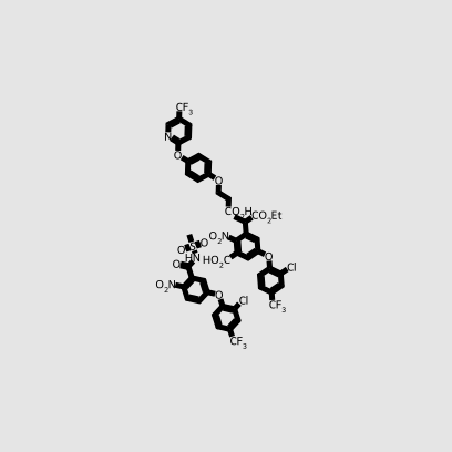 CCOC(=O)C(C)c1cc(Oc2ccc(C(F)(F)F)cc2Cl)cc(C(=O)O)c1[N+](=O)[O-].CS(=O)(=O)NC(=O)c1cc(Oc2ccc(C(F)(F)F)cc2Cl)ccc1[N+](=O)[O-].O=C(O)CCOc1ccc(Oc2ccc(C(F)(F)F)cn2)cc1